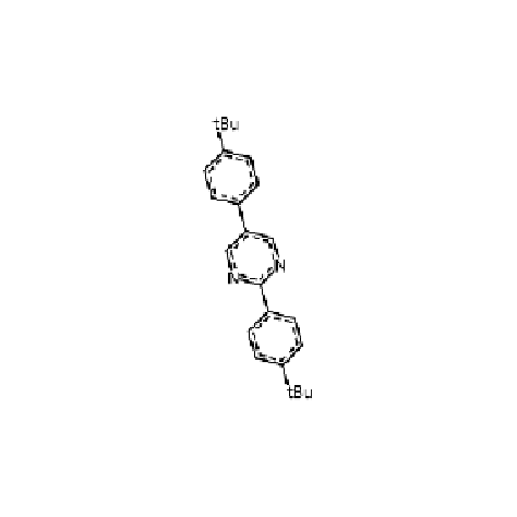 CC(C)(C)c1ccc(-c2cnc(-c3ccc(C(C)(C)C)cc3)nc2)cc1